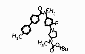 Cc1ccc(-c2ccc(C(=O)N(C)c3ccc(N4CCC(N(C)C(=O)OC(C)(C)C)C4)c(F)c3)cc2)cc1